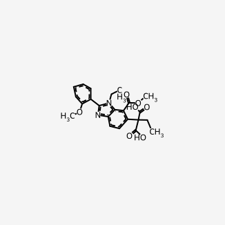 CCn1c(-c2ccccc2OC)nc2ccc(C(CC)(C(=O)O)C(=O)O)c(C(=O)OC)c21